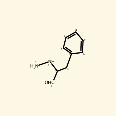 NNC(C=O)Cc1ccccc1